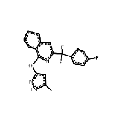 Cc1cc(Nc2nc(C(F)(F)c3ccc(F)cc3)cc3ccccc23)n[nH]1